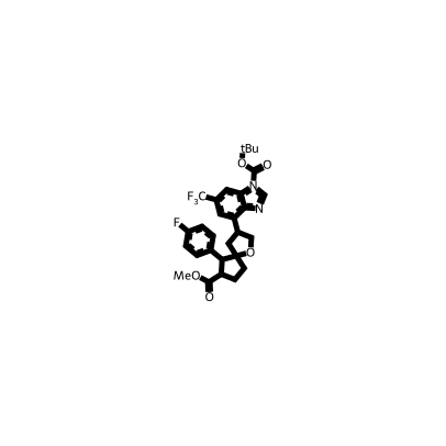 COC(=O)C1CCC2(CC(c3cc(C(F)(F)F)cc4c3ncn4C(=O)OC(C)(C)C)CO2)C1c1ccc(F)cc1